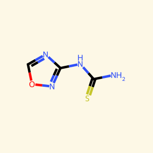 NC(=S)Nc1ncon1